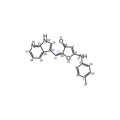 Cc1ccc(NC2=CC(=O)/C(=C\c3c[nH]c4ncccc34)O2)cc1